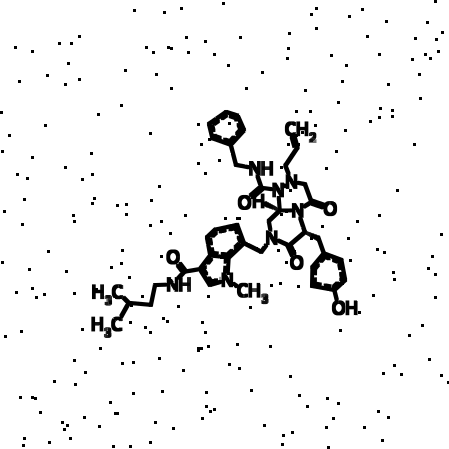 C=CCN1CC(=O)N2[C@@H](Cc3ccc(O)cc3)C(=O)N(Cc3cccc4c(C(=O)NCCC(C)C)cn(C)c34)C[C@@H]2N1C(=O)NCc1ccccc1